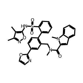 Cc1noc(NS(=O)(=O)c2ccccc2-c2ccc(-c3ncco3)cc2CN(C)C(=O)c2cc3ccccc3n2C)c1C